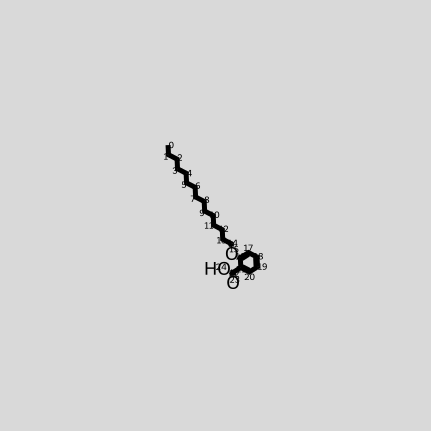 CCCCCCCCCCCCCCCOc1ccccc1C(=O)O